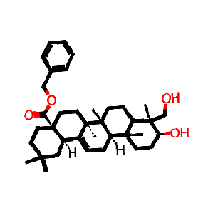 CC1(C)CC[C@]2(C(=O)OCc3ccccc3)CC[C@]3(C)C(=CC[C@@H]4[C@@]5(C)CC[C@H](O)[C@@](C)(CO)C5CC[C@]43C)[C@H]2C1